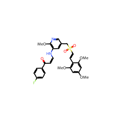 COc1cc(OC)c(/C=C/S(=O)(=O)Cc2cnc(OC)c(N/C=C\C(=O)c3ccc(F)cc3)c2)c(OC)c1